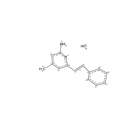 Cc1cc(N)nc(/C=C/c2ccccc2)c1.Cl